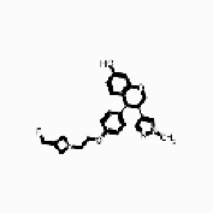 Cn1cc([C@@H]2COc3cc(O)ccc3[C@@H]2c2ccc(OCCN3CC(CF)C3)cc2)cn1